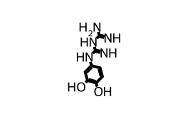 N=C(N)NC(=N)Nc1ccc(O)c(O)c1